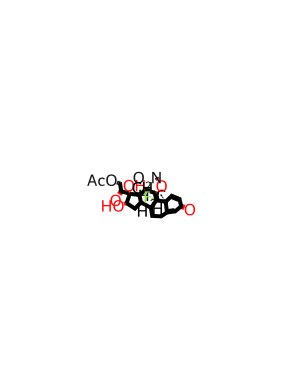 CC(=O)OCC(=O)[C@@]1(O)C(O)C[C@H]2[C@@H]3CCC4=CC(=O)C=C[C@]4(C)[C@@]3(F)C(O[N+](=O)[O-])C[C@@]21C